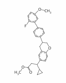 COC(=O)CC(c1ccc2c(c1)CC(c1ccc(-c3cc(OC)ccc3F)cc1)CO2)C1CC1